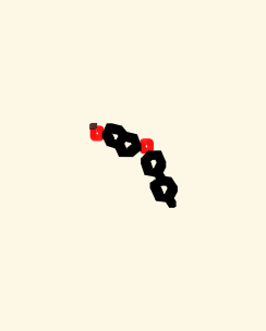 COc1ccc2cc(Oc3ccc(-c4ccc(C)cc4)cc3)ccc2c1